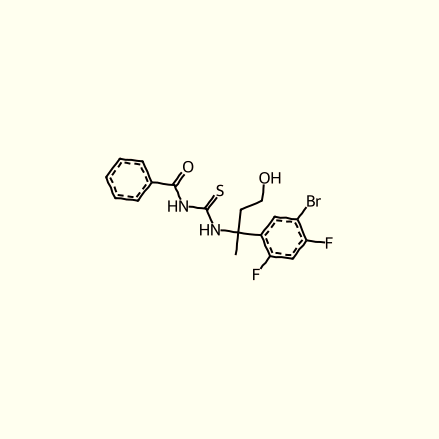 CC(CCO)(NC(=S)NC(=O)c1ccccc1)c1cc(Br)c(F)cc1F